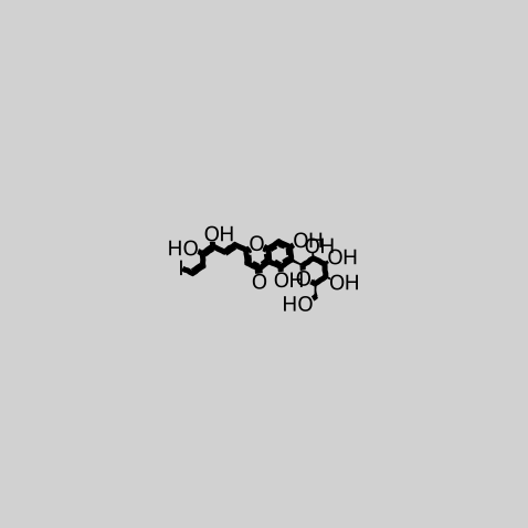 O=c1cc(/C=C/C(O)=C(O)\C=C/I)oc2cc(O)c([C@@H]3O[C@H](CO)[C@@H](O)[C@H](O)[C@H]3O)c(O)c12